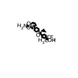 C[C@](O)(c1ccc(C(=O)N(C2CC2)[C@H]2CC[C@@](CCOC(N)=O)(c3ccccn3)CC2)cc1)C(F)(F)F